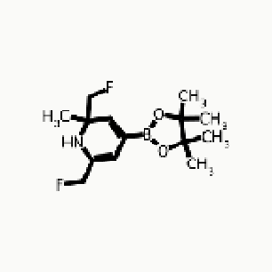 CC1(CF)C=C(B2OC(C)(C)C(C)(C)O2)C=C(CF)N1